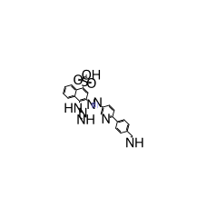 N=Cc1ccc(-c2ccc(/N=N/c3cc(S(=O)(=O)O)c4ccccc4c3NN=N)cn2)cc1